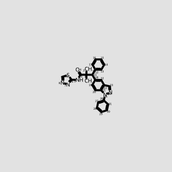 CC(C)(C(=O)Nc1nncs1)C(c1ccccc1)c1ccc2c(cnn2-c2ccccc2)c1